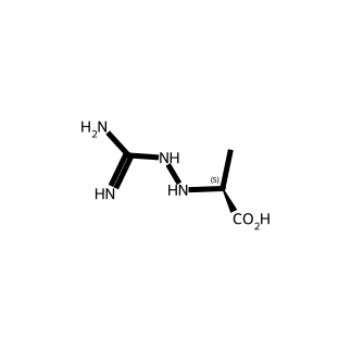 C[C@H](NNC(=N)N)C(=O)O